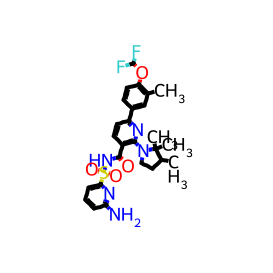 Cc1cc(-c2ccc(C(=O)NS(=O)(=O)c3cccc(N)n3)c(N3CCC(C)C3(C)C)n2)ccc1OC(F)F